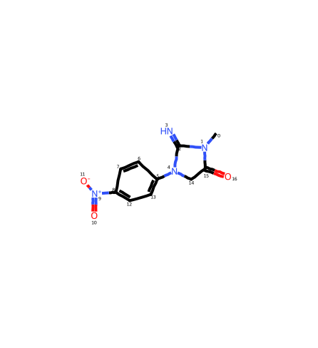 CN1C(=N)N(c2ccc([N+](=O)[O-])cc2)CC1=O